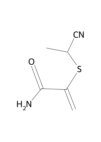 C=C(SC(C)C#N)C(N)=O